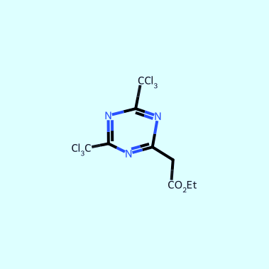 CCOC(=O)Cc1nc(C(Cl)(Cl)Cl)nc(C(Cl)(Cl)Cl)n1